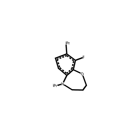 CC(C)c1ccc2c(c1F)OCCCN2C(C)C